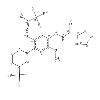 COc1nc(N2CCCC(C(F)(F)F)C2)c(F)cc1CNC(=O)[C@@H]1CCCN1.O=C(O)C(F)(F)F